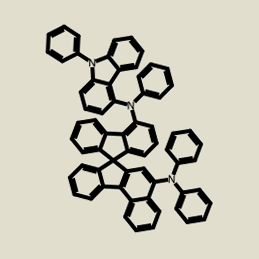 c1ccc(N(c2ccccc2)c2cc3c(c4ccccc24)-c2ccccc2C32c3ccccc3-c3c(N(c4ccccc4)c4cccc5c4c4ccccc4n5-c4ccccc4)cccc32)cc1